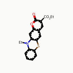 CCOC(=O)c1cc2cc3c(cc2oc1=O)N(CC)c1ccccc1S3